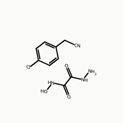 N#CCc1ccc(Cl)cc1.NNC(=O)C(=O)NO